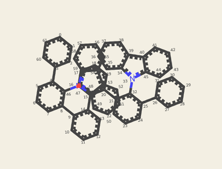 c1ccc(-c2cccc(-c3ccccc3-c3ccccc3-c3cccc(-c4ccccc4)c3-n3c4ccccc4c4ccccc43)c2-n2c3ccccc3c3ccccc32)cc1